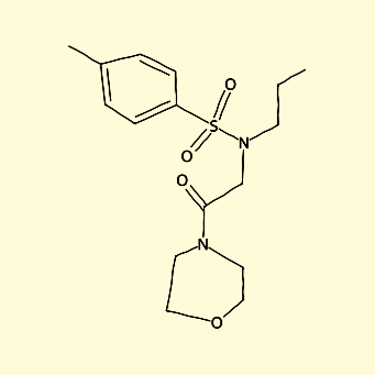 CCCN(CC(=O)N1CCOCC1)S(=O)(=O)c1ccc(C)cc1